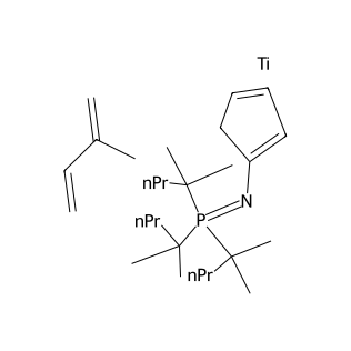 C=CC(=C)C.CCCC(C)(C)P(=NC1=CC=CC1)(C(C)(C)CCC)C(C)(C)CCC.[Ti]